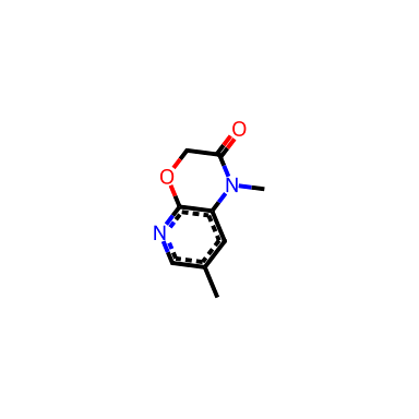 Cc1cnc2c(c1)N(C)C(=O)CO2